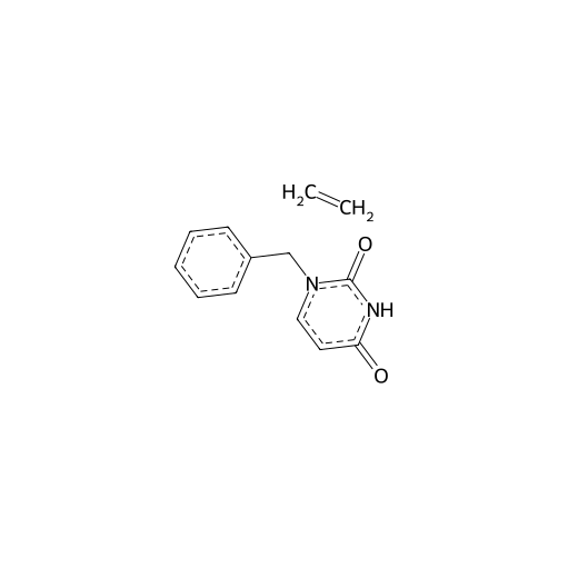 C=C.O=c1ccn(Cc2ccccc2)c(=O)[nH]1